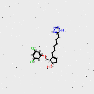 O[C@@H]1CC=C(CCCCCCc2nnn[nH]2)[C@H]1COc1cc(Cl)cc(Cl)c1